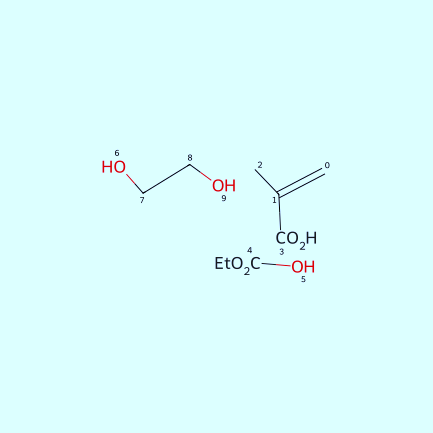 C=C(C)C(=O)O.CCOC(=O)O.OCCO